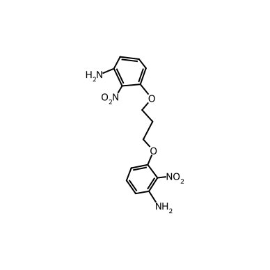 Nc1cccc(OCCCOc2cccc(N)c2[N+](=O)[O-])c1[N+](=O)[O-]